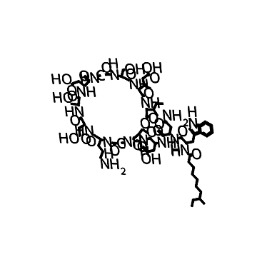 CCC(C)CCCCCCC(=O)NC(Cc1c[nH]c2ccccc12)C(=O)NC(CC(N)=O)C(=O)NC(CC(=O)O)C(=O)NC1C(=O)NCC(=O)NC(CCCN)C(=O)NC(CC(=O)O)C(=O)NC(CO)C(=O)NC(CC(=O)O)C(=O)NCC(=O)NC(CO)C(=O)NC(C(C)CC(=O)O)C(=O)NC(C(C)CC)C(=O)OC1C